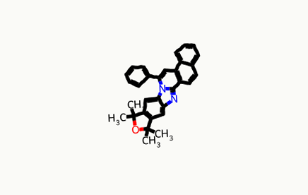 CC1(C)OC(C)(C)c2cc3c(cc21)nc1c2ccc4ccccc4c2cc(-c2ccccc2)n31